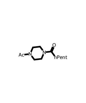 CCCCCC(=O)N1CCN(C(C)=O)CC1